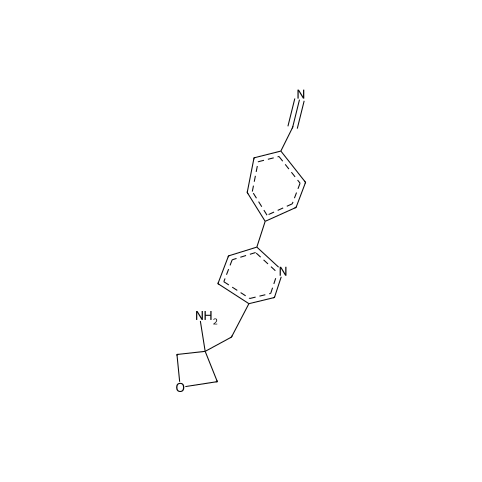 N#Cc1ccc(-c2ccc(CC3(N)COC3)cn2)cc1